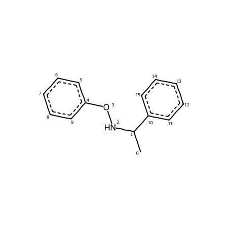 CC(NOc1ccccc1)c1ccccc1